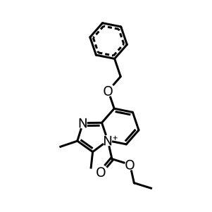 CCOC(=O)[N+]12C=CC=C(OCc3ccccc3)C1=NC(C)=C2C